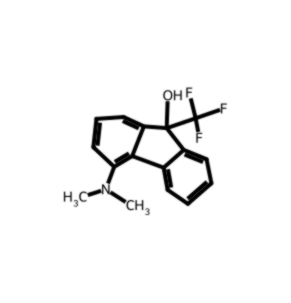 CN(C)c1cccc2c1-c1ccccc1C2(O)C(F)(F)F